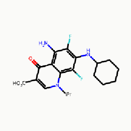 CC(C)n1cc(C(=O)O)c(=O)c2c(N)c(F)c(NC3CCCCC3)c(F)c21